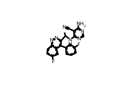 CC(Nc1ncnc(N)c1C#N)c1nnc2ccc(F)cc2c1-c1cccc(F)c1